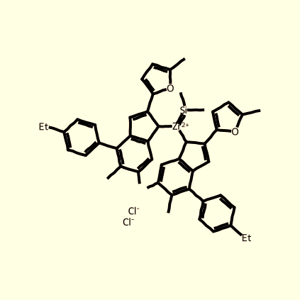 CCc1ccc(-c2c(C)c(C)cc3c2C=C(c2ccc(C)o2)[CH]3[Zr+2]([CH]2C(c3ccc(C)o3)=Cc3c2cc(C)c(C)c3-c2ccc(CC)cc2)=[Si](C)C)cc1.[Cl-].[Cl-]